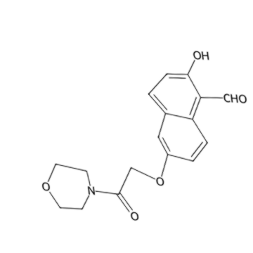 O=Cc1c(O)ccc2cc(OCC(=O)N3CCOCC3)ccc12